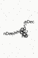 CCCCCCCCCCCCCCCCC(c1ccccc1)[N+](C)(C)CCCCCCCCCCCCCCCC.[OH-]